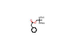 CCCCCCCCC(C)(CCCCCC)COC(=O)Cc1ccccc1